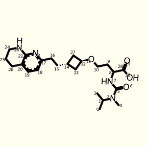 CC(C)N(C)C(=O)NC(CCO[C@H]1C[C@H](CCc2ccc3c(n2)NCCC3)C1)C(=O)O